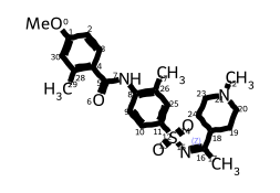 COc1ccc(C(=O)Nc2ccc(S(=O)(=O)/N=C(/C)C3CCN(C)CC3)cc2C)c(C)c1